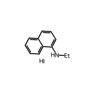 CCNc1cccc2ccccc12.I